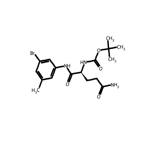 Cc1cc(Br)cc(NC(=O)[C@H](CCC(N)=O)NC(=O)OC(C)(C)C)c1